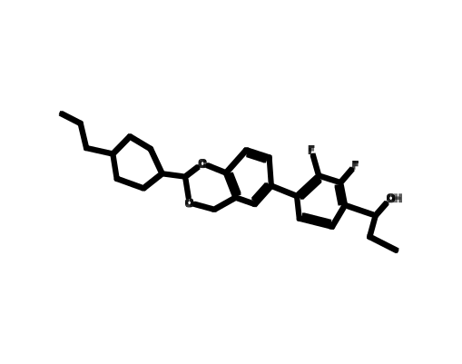 CCCC1CCC(C2OCc3cc(-c4ccc(C(O)CC)c(F)c4F)ccc3O2)CC1